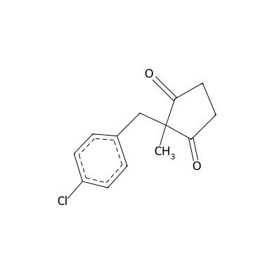 CC1(Cc2ccc(Cl)cc2)C(=O)CCC1=O